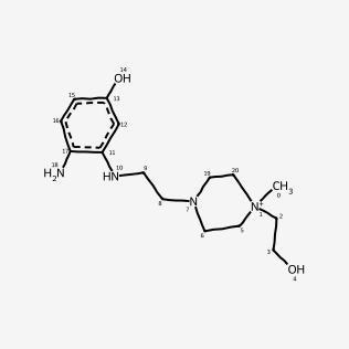 C[N+]1(CCO)CCN(CCNc2cc(O)ccc2N)CC1